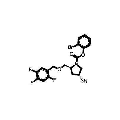 O=C(Oc1ccccc1Br)N1C[C@H](S)C[C@H]1COCc1cc(F)c(F)cc1F